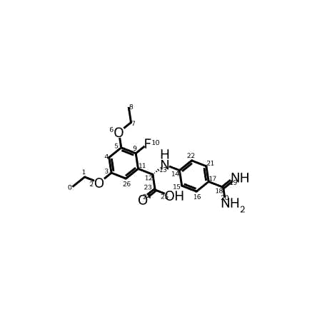 CCOc1cc(OCC)c(F)c([C@H](Nc2ccc(C(=N)N)cc2)C(=O)O)c1